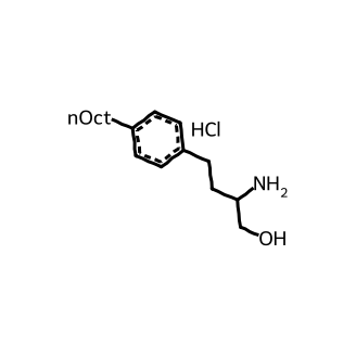 CCCCCCCCc1ccc(CCC(N)CO)cc1.Cl